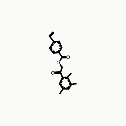 C=Cc1ccc(C(=O)OCC(=O)c2cc(C)cc(C)c2C)cc1